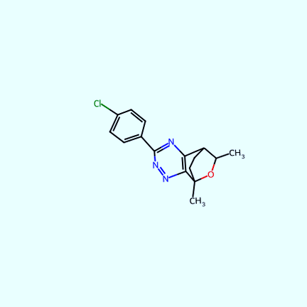 CC1OC2(C)CCC1c1nc(-c3ccc(Cl)cc3)nnc12